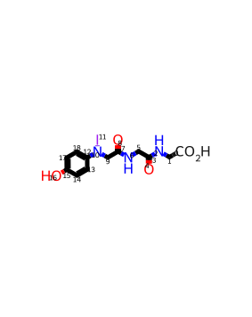 O=C(O)CNC(=O)CNC(=O)CN(I)c1ccc(O)cc1